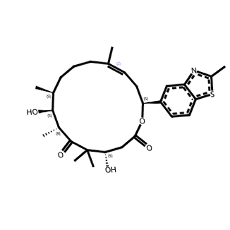 C/C1=C/C[C@@H](c2ccc3sc(C)nc3c2)OC(=O)C[C@H](O)C(C)(C)C(=O)[C@H](C)[C@@H](O)[C@@H](C)CCC1